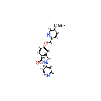 COc1ccc(COc2ccc3c(c2)CN(c2ccncc2)C3=O)nc1